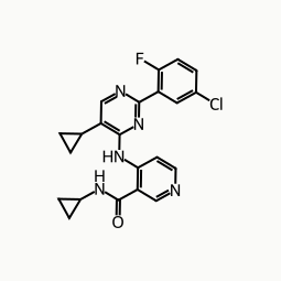 O=C(NC1CC1)c1cnccc1Nc1nc(-c2cc(Cl)ccc2F)ncc1C1CC1